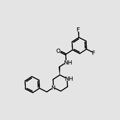 O=C(NC[C@@H]1CN(Cc2ccccc2)CCN1)c1cc(F)cc(F)c1